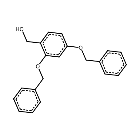 OCc1ccc(OCc2ccccc2)cc1OCc1ccccc1